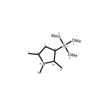 CO[Si](OC)(OC)C1CC(C)N(C)C1C